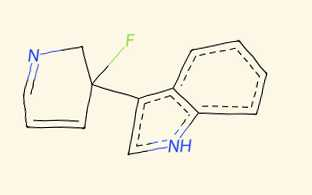 FC1(c2c[nH]c3ccccc23)C=CC=NC1